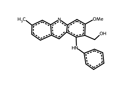 COc1cc2nc3cc(C)ccc3cc2c(Nc2ccccc2)c1CO